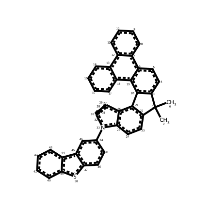 CC1(C)c2ccc3c4ccccc4c4ccccc4c3c2-c2c1ccc1c2c2ccncc2n1-c1ccc2sc3ccccc3c2c1